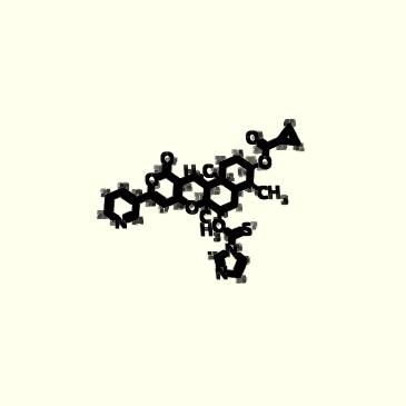 C[C@@H]1C2C[C@H](OC(=S)n3ccnc3)[C@@]3(C)Oc4cc(-c5cccnc5)oc(=O)c4CC3[C@@]2(C)CC[C@@H]1OC(=O)C1CC1